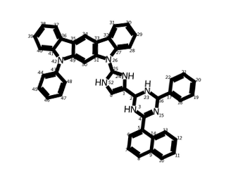 C1=C(C2NC(c3cccc4ccccc34)=NC(c3ccccc3)N2)NC(n2c3ccccc3c3cc4c5ccccc5n(-c5ccccc5)c4cc32)N1